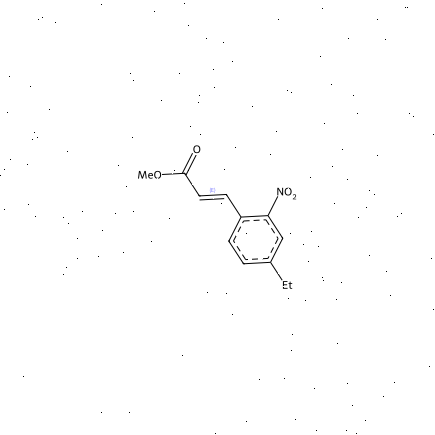 CCc1ccc(/C=C/C(=O)OC)c([N+](=O)[O-])c1